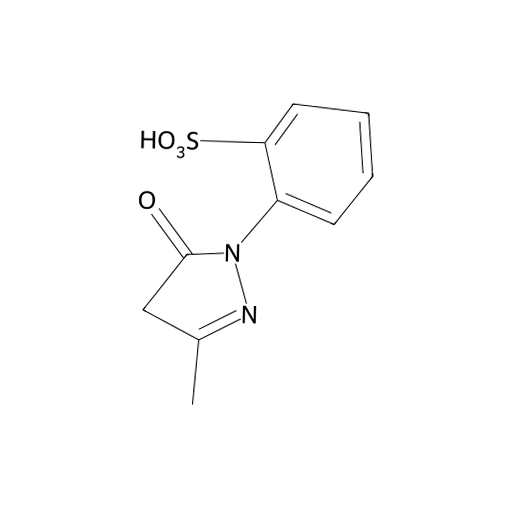 CC1=NN(c2ccccc2S(=O)(=O)O)C(=O)C1